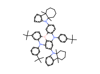 CC(C)(C)c1ccc(N2c3ccc(N4c5ccccc5C5(C)CCCCCC45C)cc3B3c4ccc(C(C)(C)C)cc4N(c4cccc(C(C)(C)C)c4)c4cc(N5c6ccccc6C6(C)CCCCC56C)cc2c43)cc1